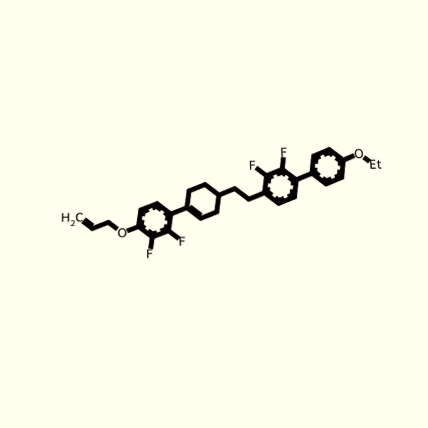 C=CCOc1ccc(C2=CCC(CCc3ccc(-c4ccc(OCC)cc4)c(F)c3F)CC2)c(F)c1F